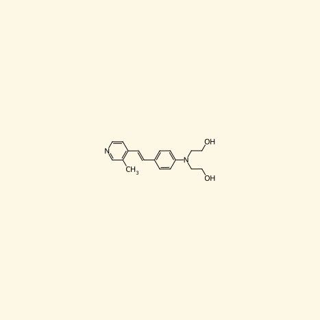 Cc1cnccc1/C=C/c1ccc(N(CCO)CCO)cc1